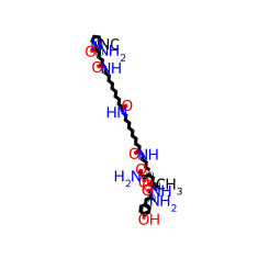 [C-]#[N+][C@@H]1CCCN1C(=O)[C@@H](N)CCC(=O)NCCCCCCCCCC(=O)NCCCCCCCCCC(=O)NCCCC[C@H](CC(=O)[C@@H](C)NC(=O)[C@@H](N)Cc1ccc(O)cc1)C(=O)C(N)=O